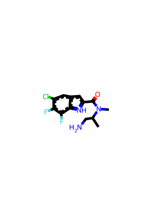 CC(CN)N(C)C(=O)c1cc2cc(Cl)c(F)c(F)c2[nH]1